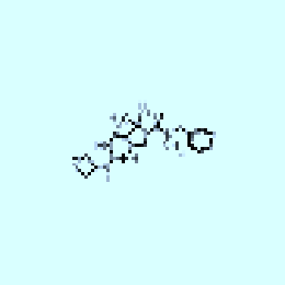 CC1(C)C2=CNC(NC3CCOC3)NC2CN1C(=O)N(N)Cc1ccccc1